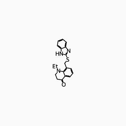 CCN1CCC(=O)c2cccc(CSc3nc4ccccc4[nH]3)c21